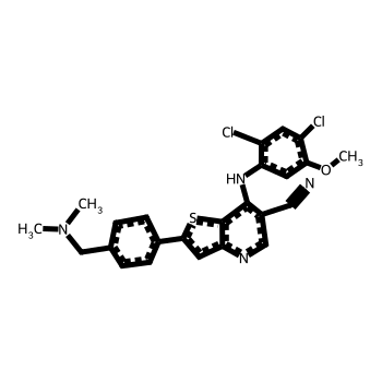 COc1cc(Nc2c(C#N)cnc3cc(-c4ccc(CN(C)C)cc4)sc23)c(Cl)cc1Cl